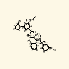 CCNc1cc(C(=O)N[C@@H](Cc2ccccc2)[C@@H](O)CNC(C)(C)c2cccc(OC)c2)c(F)c(N2CCCC2=O)c1